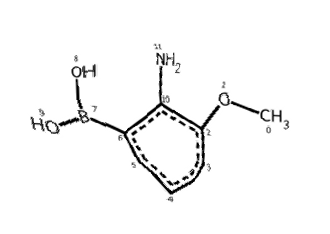 COc1cccc(B(O)O)c1N